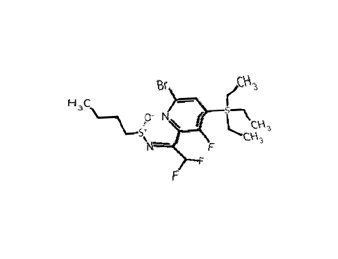 CCCC[S@+]([O-])/N=C(\c1nc(Br)cc(S(CC)(CC)CC)c1F)C(F)F